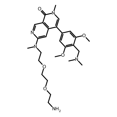 COc1cc(-c2cn(C)c(=O)c3cnc(N(C)CCOCCOCCN)cc23)cc(OC)c1CN(C)C